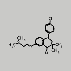 CN(C)CCOc1ccc2c(c1)C(Cl)C(C)(C)CC2c1ccc(Cl)cc1